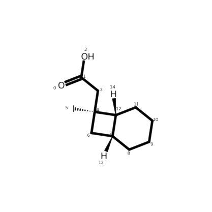 O=C(O)C[C@]1(I)C[C@H]2CCCC[C@H]21